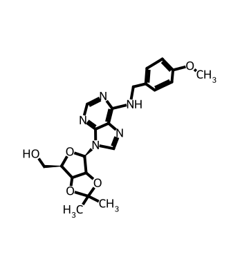 COc1ccc(CNc2ncnc3c2ncn3[C@@H]2O[C@H](CO)C3OC(C)(C)OC32)cc1